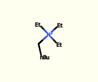 [CH2]CCCC[N+](CC)(CC)CC